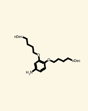 CCCCCCCCCCCCCCOc1ccc(N)cc1OCCCCCCCCCCCCCC